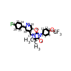 CC1(C)C(=O)N(c2ccc(OC(F)(F)F)cc2)C(=O)N1Cc1ccnc(-c2ccc(F)cc2)c1